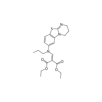 CCCN(C=C(C(=O)OCC)C(=O)OCC)c1ccc2c(c1)N1CCCN=C1S2